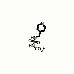 O=C(O)NS(=O)(=O)NCc1ccncc1